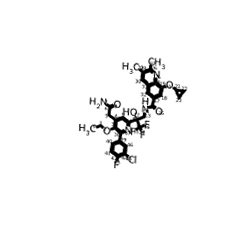 CCOc1c(CC(N)=O)cc([C@@](O)(CNC(=O)c2cc(OC3CC3)c3nc(C)c(C)cc3c2)C(F)(F)F)nc1-c1ccc(F)c(Cl)c1